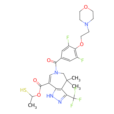 CC(S)OC(=O)C1=CN(C(=O)c2cc(F)c(OCCN3CCOCC3)c(F)c2)CC(C)(C)c2c(C(F)(F)F)n[nH]c21